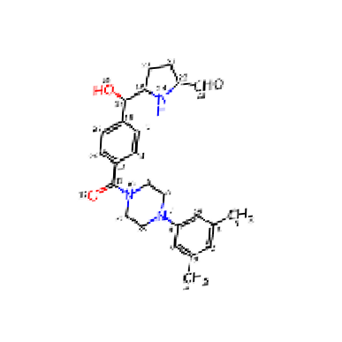 Cc1cc(C)cc(N2CCN(C(=O)c3ccc(C(O)C4CCC(C=O)N4)cc3)CC2)c1